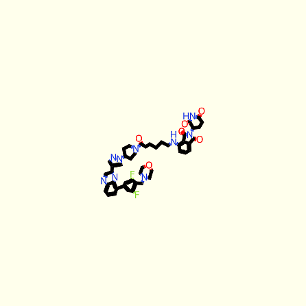 O=C1CCC(N2C(=O)c3cccc(NCCCCCC(=O)N4CCC(n5cc(-c6cnc7cccc(-c8cc(F)c(CN9CCOCC9)c(F)c8)c7n6)cn5)CC4)c3C2=O)C(=O)N1